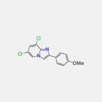 COc1ccc(-c2cn3cc(Cl)cc(Cl)c3n2)cc1